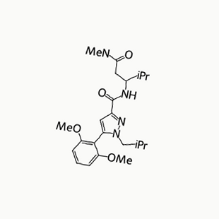 CNC(=O)CC(NC(=O)c1cc(-c2c(OC)cccc2OC)n(CC(C)C)n1)C(C)C